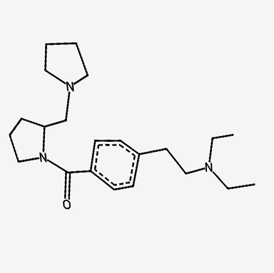 CCN(CC)CCc1ccc(C(=O)N2CCCC2CN2CCCC2)cc1